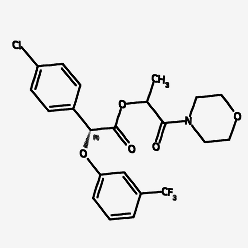 CC(OC(=O)[C@H](Oc1cccc(C(F)(F)F)c1)c1ccc(Cl)cc1)C(=O)N1CCOCC1